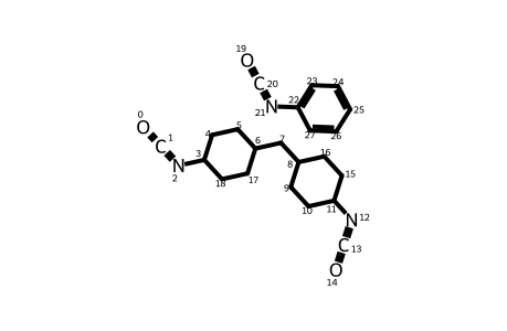 O=C=NC1CCC(CC2CCC(N=C=O)CC2)CC1.O=C=Nc1ccccc1